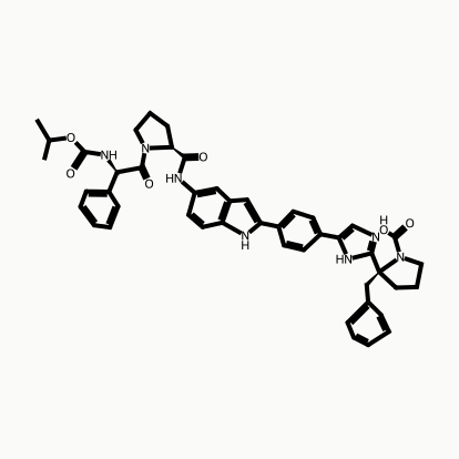 CC(C)OC(=O)N[C@@H](C(=O)N1CCC[C@H]1C(=O)Nc1ccc2[nH]c(-c3ccc(-c4cnc([C@@]5(Cc6ccccc6)CCCN5C(=O)O)[nH]4)cc3)cc2c1)c1ccccc1